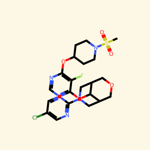 CS(=O)(=O)N1CCC(Oc2ncnc(OC3C4COCC3CN(c3ncc(Cl)cn3)C4)c2F)CC1